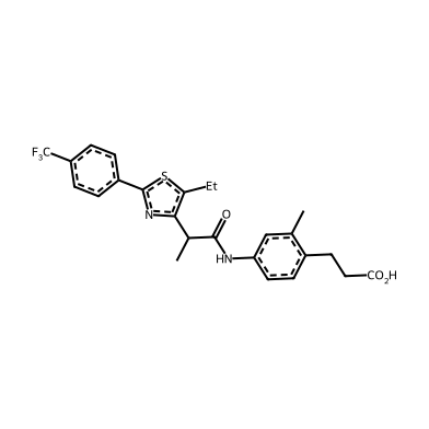 CCc1sc(-c2ccc(C(F)(F)F)cc2)nc1C(C)C(=O)Nc1ccc(CCC(=O)O)c(C)c1